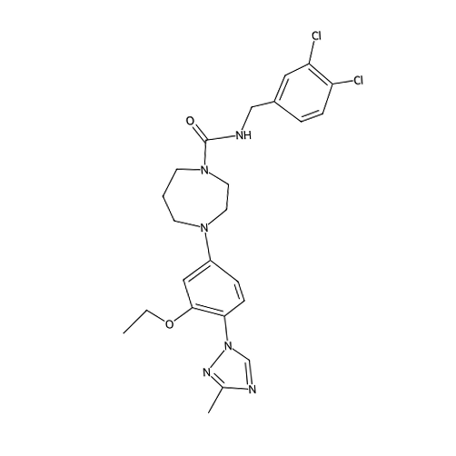 CCOc1cc(N2CCCN(C(=O)NCc3ccc(Cl)c(Cl)c3)CC2)ccc1-n1cnc(C)n1